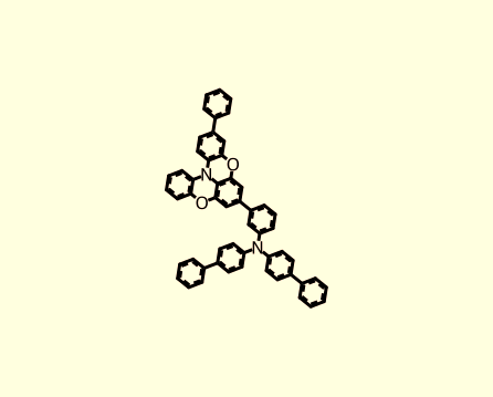 c1ccc(-c2ccc(N(c3ccc(-c4ccccc4)cc3)c3cccc(-c4cc5c6c(c4)Oc4cc(-c7ccccc7)ccc4N6c4ccccc4O5)c3)cc2)cc1